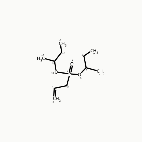 C=CCP(=O)(OC(C)CC)OC(C)CC